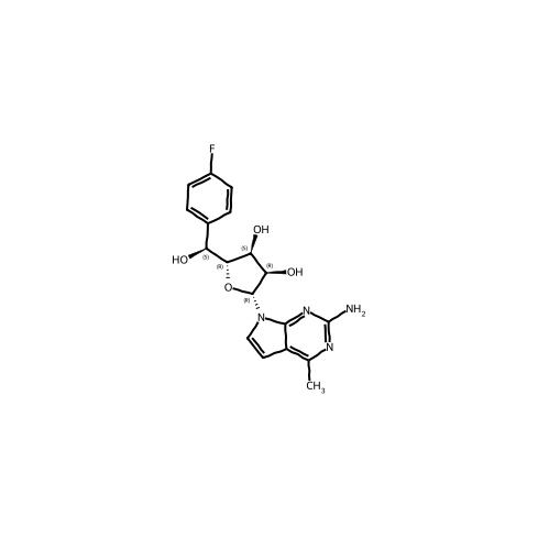 Cc1nc(N)nc2c1ccn2[C@@H]1O[C@H]([C@@H](O)c2ccc(F)cc2)[C@@H](O)[C@H]1O